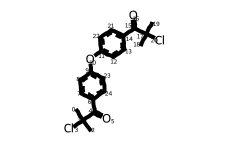 CC(C)(Cl)C(=O)c1ccc(Oc2ccc(C(=O)C(C)(C)Cl)cc2)cc1